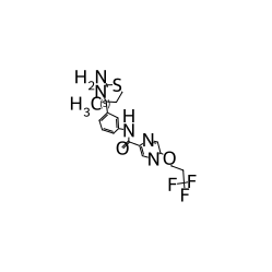 C[C@@]1(c2cccc(NC(=O)c3cnc(OCCC(F)(F)F)cn3)c2)CCSC(N)=N1